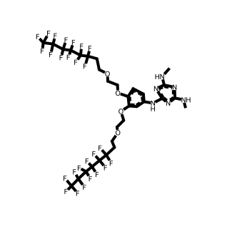 CNc1nc(NC)nc(Nc2ccc(OCCOCCC(F)(F)C(F)(F)C(F)(F)C(F)(F)C(F)(F)C(F)(F)F)c(OCCOCCC(F)(F)C(F)(F)C(F)(F)C(F)(F)C(F)(F)C(F)(F)F)c2)n1